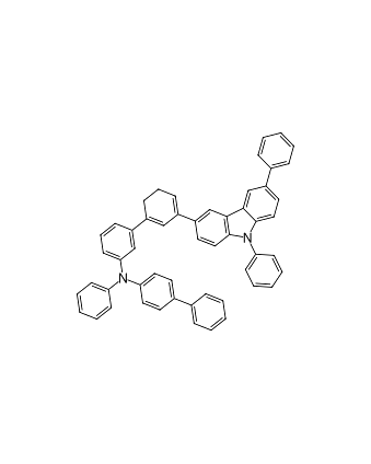 C1=C(c2ccc3c(c2)c2cc(-c4ccccc4)ccc2n3-c2ccccc2)C=C(c2cccc(N(c3ccccc3)c3ccc(-c4ccccc4)cc3)c2)CC1